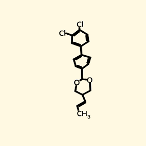 C/C=C/C1COC(c2ccc(-c3ccc(Cl)c(Cl)c3)cc2)OC1